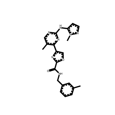 Cc1cccc(CNC(=O)c2nc(-c3nc(Nc4ccnn4C)ncc3C)co2)c1